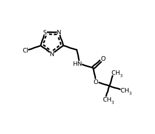 CC(C)(C)OC(=O)NCc1nsc(Cl)n1